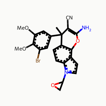 COc1cc(C2(C)C(C#N)=C(N)Oc3c2ccc2c3ccn2C2CO2)cc(Br)c1OC